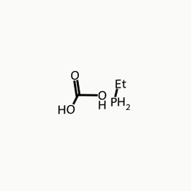 CCP.O=C(O)O